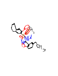 CCc1ccc2onc(NS(=O)(=O)c3cc4c(cc3OC)CCCC4)c2c1